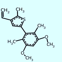 C=Cc1cc(-c2c(C)c(OC)cc(OC)c2C)sc1C